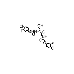 O=C(COc1ccc(Cl)c(F)c1)NCC(=O)N(CCO)CNC(=O)COc1ccc(Cl)c(F)c1